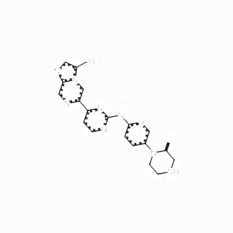 CC(C)c1cnc2cnc(-c3ccnc(Nc4ccc(N5CCNCC5=O)cn4)n3)cn12